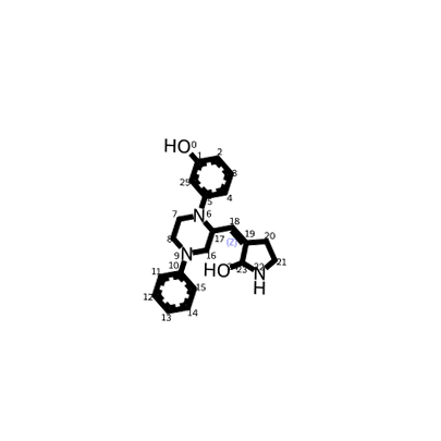 Oc1cccc(N2CCN(c3ccccc3)CC2/C=C2/CCNC2O)c1